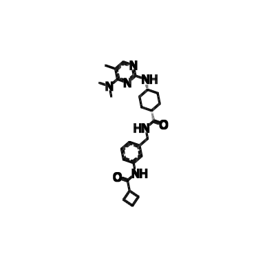 Cc1cnc(N[C@H]2CC[C@@H](C(=O)NCc3cccc(NC(=O)C4CCC4)c3)CC2)nc1N(C)C